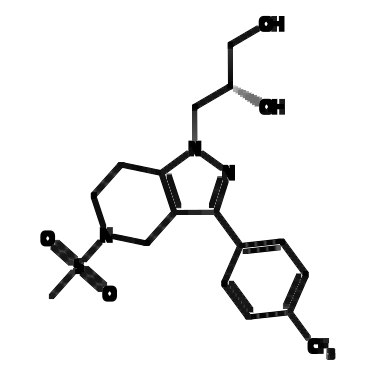 CS(=O)(=O)N1CCc2c(c(-c3ccc(C(F)(F)F)cc3)nn2C[C@@H](O)CO)C1